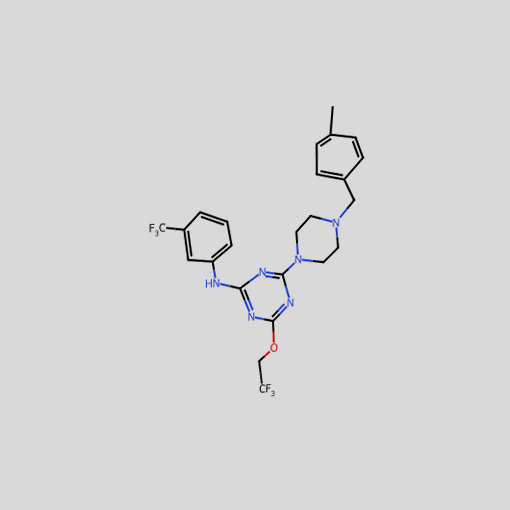 Cc1ccc(CN2CCN(c3nc(Nc4cccc(C(F)(F)F)c4)nc(OCC(F)(F)F)n3)CC2)cc1